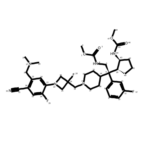 COC(=O)NC[C@@](c1cccc(F)c1)(C1CCN(CC2(F)CN(c3cc(CN(C)C)c(C#N)cc3F)C2)CC1)[C@H]1CCC[C@@H]1NC(=O)OC